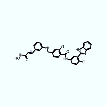 O=C(/C=C/c1cccc(NCc2ccc(C(=O)Nc3ccc(Cl)c(-c4nc5ccccc5[nH]4)c3)c(Cl)c2)c1)NO